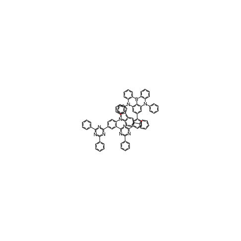 c1ccc(-c2ccc3c(c2)c2ccccc2n3-c2ccc(-c3nc(-c4ccccc4)nc(-c4ccccc4)n3)cc2-c2nc(-c3ccccc3)nc(-c3cccc(-c4cc5c6c(c4)N(c4ccccc4)c4ccccc4B6c4ccccc4N5c4ccccc4)c3)n2)cc1